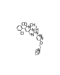 Cn1c(=O)c(-c2c(Cl)cccc2Cl)cc2cnc(Nc3ccc(OCCN4CC5CC(C4)O5)nn3)nc21